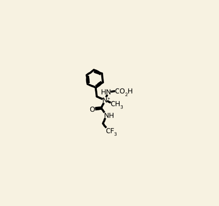 C[N+](Cc1ccccc1)(NC(=O)O)C(=O)NCC(F)(F)F